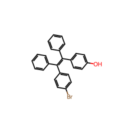 Oc1ccc(C(=C(c2ccccc2)c2ccc(Br)cc2)c2ccccc2)cc1